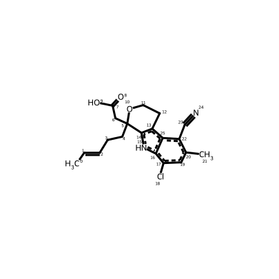 C/C=C/CCC1(CC(=O)O)OCCc2c1[nH]c1c(Cl)cc(C)c(C#N)c21